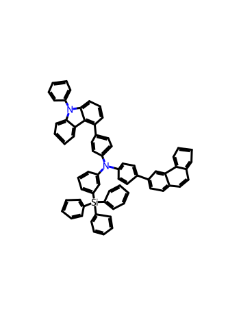 c1ccc(-n2c3ccccc3c3c(-c4ccc(N(c5ccc(-c6ccc7ccc8ccccc8c7c6)cc5)c5cccc([Si](c6ccccc6)(c6ccccc6)c6ccccc6)c5)cc4)cccc32)cc1